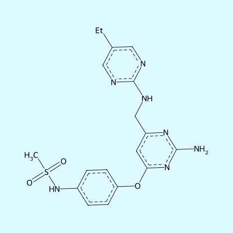 CCc1cnc(NCc2cc(Oc3ccc(NS(C)(=O)=O)cc3)nc(N)n2)nc1